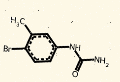 Cc1cc(NC(N)=O)ccc1Br